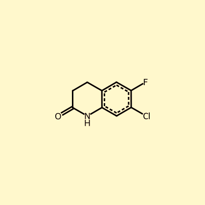 O=C1CCc2cc(F)c(Cl)cc2N1